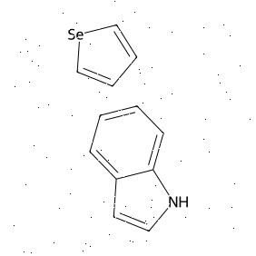 c1cc[se]c1.c1ccc2[nH]ccc2c1